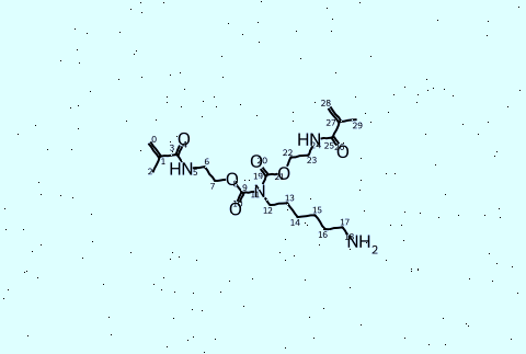 C=C(C)C(=O)NCCOC(=O)N(CCCCCCN)C(=O)OCCNC(=O)C(=C)C